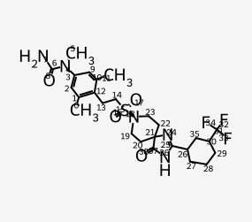 Cc1cc(N(C)C(N)=O)cc(C)c1CCS(=O)(=O)N1CCC2(CC1)N=C(C1CCCC(C(F)(F)F)C1)NC2=O